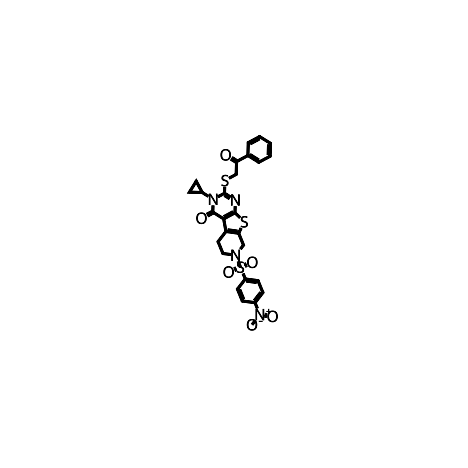 O=C(CSc1nc2sc3c(c2c(=O)n1C1CC1)CCN(S(=O)(=O)c1ccc([N+](=O)[O-])cc1)C3)c1ccccc1